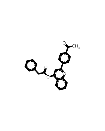 CC(=O)c1ccc(-c2cc(OC(=O)Cc3ccccc3)c3ccccc3n2)cc1